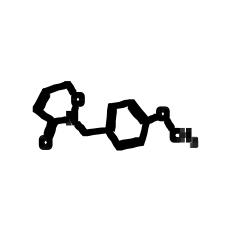 COc1ccc(CN2OCC=CC2=O)cc1